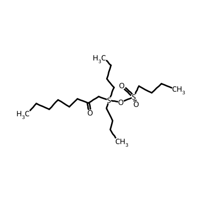 CCCCCCC(=O)CS(CCCC)(CCCC)OS(=O)(=O)CCCC